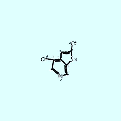 CCc1cc2c(Cl)cncc2s1